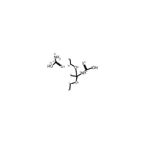 CCOC(C)(NC(O)=S)OCC.NC(O)=S